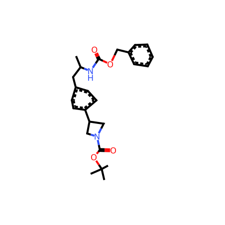 CC(Cc1ccc(C2CN(C(=O)OC(C)(C)C)C2)cc1)NC(=O)OCc1ccccc1